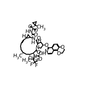 C[C@H]1CC/C=C\[C@@H]2C[C@@]2(C(=O)NS(=O)(=O)C2(C)CC2)NC(=O)[C@@H]2C[C@@H](Oc3nccc4c5c(ccc34)OCCO5)CN2C(=O)[C@@H](N(C(=O)O)[C@H](C)C(F)(F)F)[C@H](C)C1